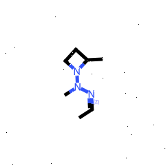 C/C=N\N(C)N1CCC1C